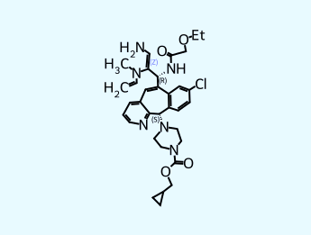 C=CN(C)/C(=C\N)[C@H](NC(=O)COCC)C1=Cc2cccnc2[C@@H](N2CCN(C(=O)OCC3CC3)CC2)c2ccc(Cl)cc21